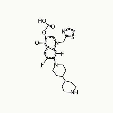 O=C(O)Oc1cn(Cc2nccs2)c2c(F)c(N3CCC(C4CCNCC4)CC3)c(F)cc2c1=O